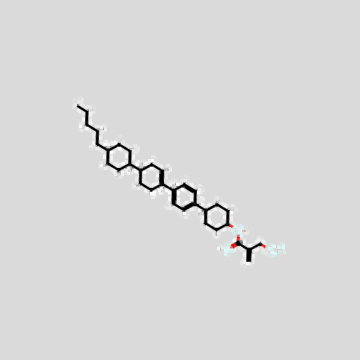 C=C(CO)C(=O)OC1CCC(c2ccc(C3=CCC(C4CCC(CCCCC)CC4)CC3)cc2)CC1